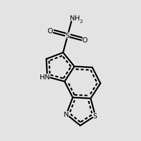 NS(=O)(=O)c1c[nH]c2c1ccc1scnc12